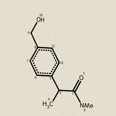 [CH2]NC(=O)C(C)c1ccc(CO)cc1